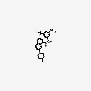 C[C@@H](Nc1ccnc2ccc(N3CCN(C)CC3)cc12)c1cc(N)cc(C(F)(F)F)c1